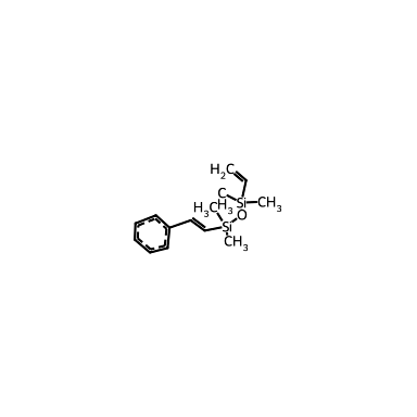 C=C[Si](C)(C)O[Si](C)(C)/C=C/c1ccccc1